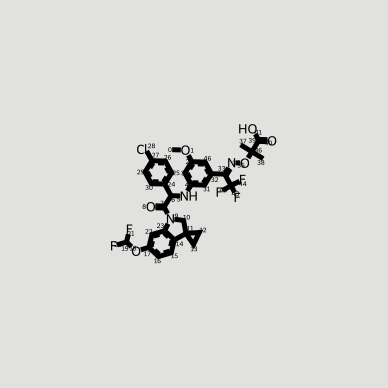 COc1cc(NC(C(=O)N2CC3(CC3)c3ccc(OC(F)F)cc32)c2ccc(Cl)cc2)cc(C(=NOC(C)(C)C(=O)O)C(F)(F)F)c1